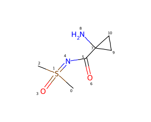 CS(C)(=O)=NC(=O)C1(N)CC1